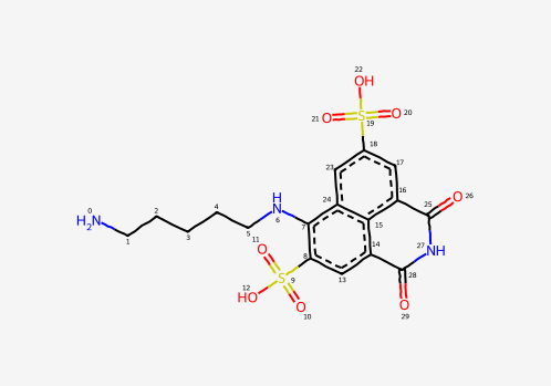 NCCCCCNc1c(S(=O)(=O)O)cc2c3c(cc(S(=O)(=O)O)cc13)C(=O)NC2=O